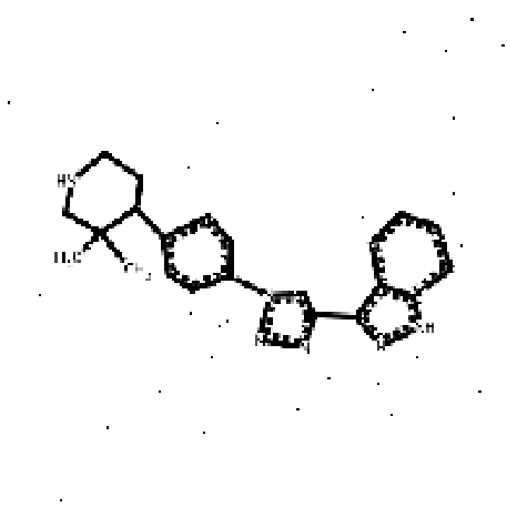 CC1(C)CNCCC1c1ccc(-n2cc(-c3n[nH]c4ccccc34)nn2)cc1